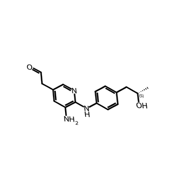 C[C@H](O)Cc1ccc(Nc2ncc(CC=O)cc2N)cc1